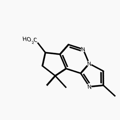 Cc1cn2ncc3c(c2n1)C(C)(C)CC3C(=O)O